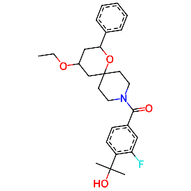 CCOC1CC(c2ccccc2)OC2(CCN(C(=O)c3ccc(C(C)(C)O)c(F)c3)CC2)C1